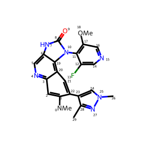 CNc1cc2ncc3[nH]c(=O)n(-c4c(F)cncc4OC)c3c2cc1-c1cn(C)nc1C